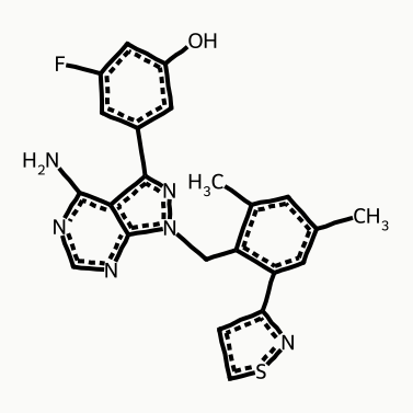 Cc1cc(C)c(Cn2nc(-c3cc(O)cc(F)c3)c3c(N)ncnc32)c(-c2ccsn2)c1